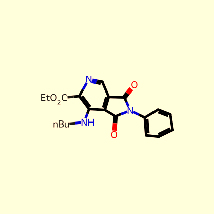 CCCCNc1c(C(=O)OCC)ncc2c1C(=O)N(c1ccccc1)C2=O